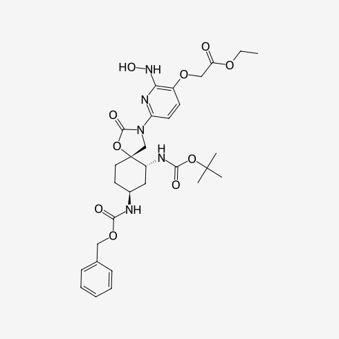 CCOC(=O)COc1ccc(N2C[C@@]3(CC[C@H](NC(=O)OCc4ccccc4)C[C@H]3NC(=O)OC(C)(C)C)OC2=O)nc1NO